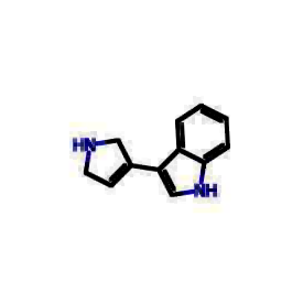 C1=C(c2c[nH]c3ccccc23)CNC1